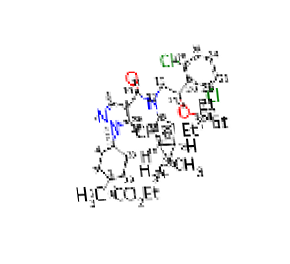 CCOC(=O)[C@]1(C)CC[C@@H](n2ncc(C(=O)N(CC(O[Si](CC)(CC)CC)c3c(Cl)cccc3Cl)[C@@H]3C[C@@H]4[C@H](C3)C4(C)C)c2C(F)(F)F)CC1